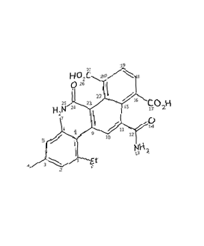 CCc1cc(C)cc(C)c1-c1cc(C(N)=O)c2c(C(=O)O)ccc(C(=O)O)c2c1C(N)=O